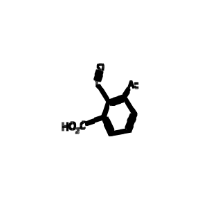 CC(=O)c1cccc(C(=O)O)c1I=O